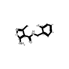 Cc1nsc(N)c1C(=O)NCc1ccccc1F